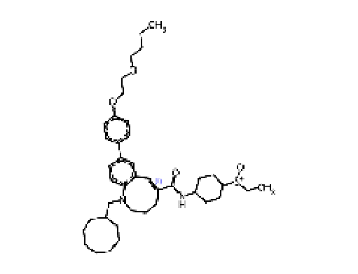 CCCCOCCOc1ccc(-c2ccc3c(c2)/C=C(/C(=O)NC2CCC([S+]([O-])CC)CC2)CCCN3CC2CCCCCCC2)cc1